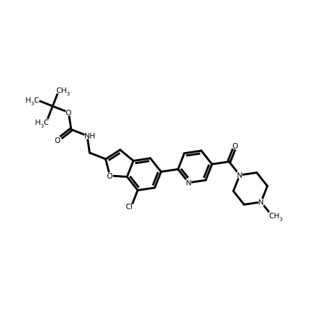 CN1CCN(C(=O)c2ccc(-c3cc(Cl)c4oc(CNC(=O)OC(C)(C)C)cc4c3)nc2)CC1